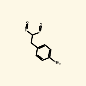 Nc1ccc(CC(P=O)P=O)cc1